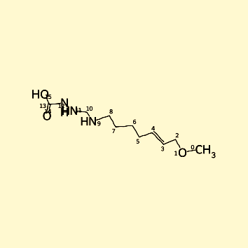 COCC=CCCCCNCNNC(=O)O